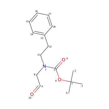 CC(C)(C)OC(=O)N(CC=O)CCc1ccccc1